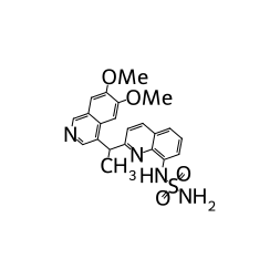 COc1cc2cncc(C(C)c3ccc4cccc(NS(N)(=O)=O)c4n3)c2cc1OC